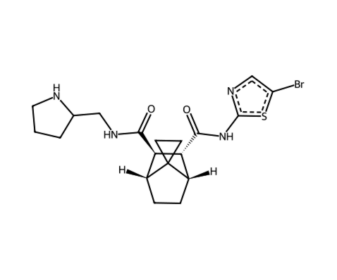 O=C(NCC1CCCN1)[C@H]1[C@H](C(=O)Nc2ncc(Br)s2)[C@@H]2CC[C@H]1C21CC1